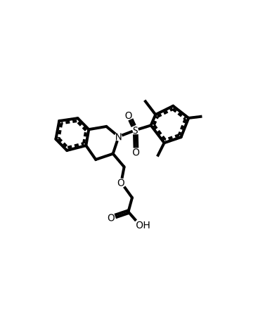 Cc1cc(C)c(S(=O)(=O)N2Cc3ccccc3CC2COCC(=O)O)c(C)c1